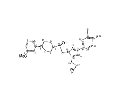 COc1ccnc(N2CCN(C(=O)Cn3nc(-c4ccc(F)c(C)c4)nc3CCC(C)C)CC2)c1